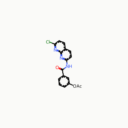 CC(=O)Oc1cccc(C(=O)Nc2ccc3ccc(Cl)nc3n2)c1